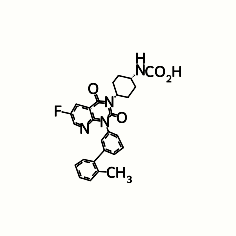 Cc1ccccc1-c1cccc(-n2c(=O)n([C@H]3CC[C@@H](NC(=O)O)CC3)c(=O)c3cc(F)cnc32)c1